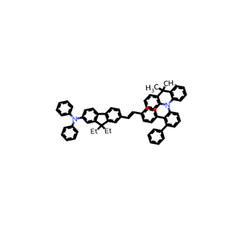 CCC1(CC)c2cc(/C=C/c3ccc(-c4c(-c5ccccc5)cccc4N4c5ccccc5C(C)(C)c5ccccc54)cc3)ccc2-c2ccc(N(c3ccccc3)c3ccccc3)cc21